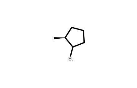 CCC1CCC[C@@H]1I